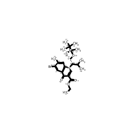 CCOC(=O)c1cn([C@H](CO[Si](C)(C)C(C)(C)C)C(C)C)c2cc(C)c(Br)cc2c1=O